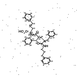 O=C(NCCCc1ccccc1)[C@H](Cc1ccccc1)C[C@@H](Cc1ccccc1)C(=O)N[C@@H](CSCc1ccccc1)C(=O)O